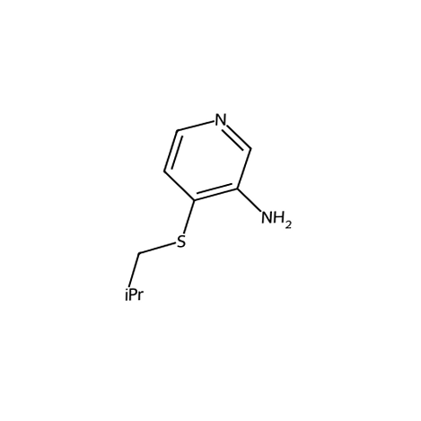 CC(C)CSc1ccncc1N